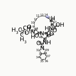 CC(C)(C)OC(=O)N[C@H]1CCCCC/C=C\[C@@H]2C[C@@]2(C(=O)O)NC(=O)[C@@H]2C[C@@H](NC(=O)N3Cc4ccccc4C3)CN2C1=O